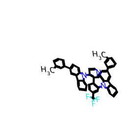 Cc1cccc(-c2ccc3c(c2)c2ccccc2n3-c2ccncc2-c2ccc(C(F)(F)F)cc2-n2c3ccccc3c3cc(-c4cccc(C)c4)ccc32)c1